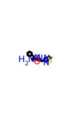 C[C@@](N)(Cc1ccccc1)c1nnc(Cc2cn3ccsc3n2)o1